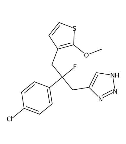 COc1sccc1CC(F)(Cc1c[nH]nn1)c1ccc(Cl)cc1